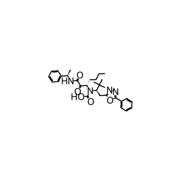 CCCC[C@@H](C(=O)C(=O)N[C@H](C)c1ccccc1)N(C(=O)O)[C@H](Cc1nnc(-c2ccccc2)o1)C(C)(C)C